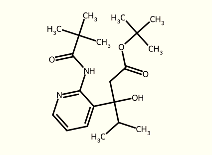 CC(C)C(O)(CC(=O)OC(C)(C)C)c1cccnc1NC(=O)C(C)(C)C